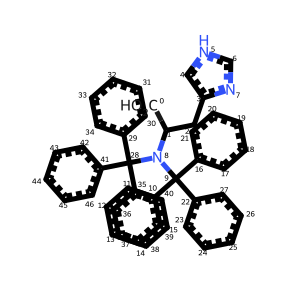 O=C(O)C(Cc1c[nH]cn1)N(C(c1ccccc1)(c1ccccc1)c1ccccc1)C(c1ccccc1)(c1ccccc1)c1ccccc1